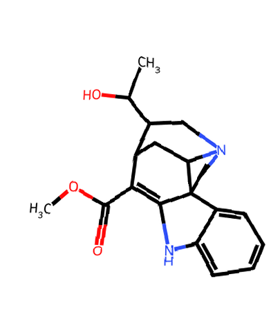 COC(=O)C1=C2Nc3ccccc3C23CCN2CC(C(C)O)C1CC23